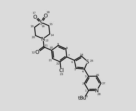 CC(C)(C)c1cc(-c2cc(-c3ccc(C(=O)N4CCS(=O)(=O)CC4)cc3Cl)cs2)ccn1